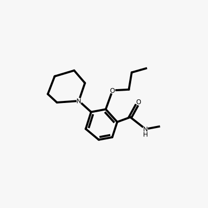 CCCOc1c(C(=O)NC)cccc1N1CCCCC1